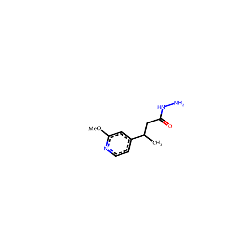 COc1cc(C(C)CC(=O)NN)ccn1